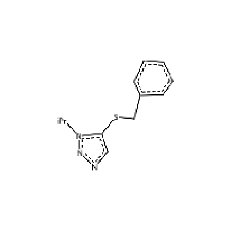 CC(C)n1nncc1SCc1ccccc1